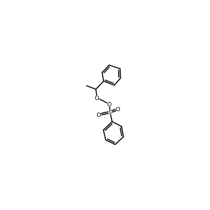 CC(OOS(=O)(=O)c1ccccc1)c1ccccc1